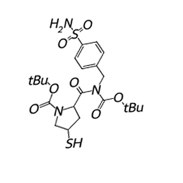 CC(C)(C)OC(=O)N(Cc1ccc(S(N)(=O)=O)cc1)C(=O)C1CC(S)CN1C(=O)OC(C)(C)C